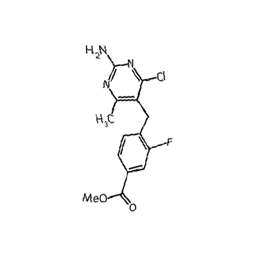 COC(=O)c1ccc(Cc2c(C)nc(N)nc2Cl)c(F)c1